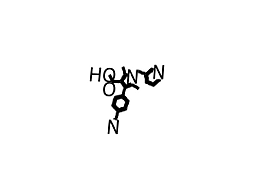 Cc1c(C(=O)O)c(-c2ccc(C#N)cc2)c(C)n1Cc1cccnc1